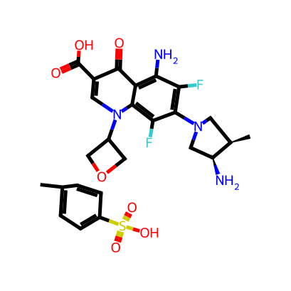 C[C@@H]1CN(c2c(F)c(N)c3c(=O)c(C(=O)O)cn(C4COC4)c3c2F)C[C@@H]1N.Cc1ccc(S(=O)(=O)O)cc1